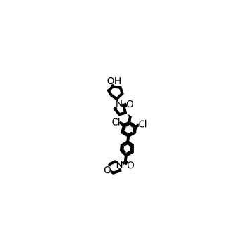 O=C(c1ccc(-c2cc(Cl)c(C[C@@H]3CCN(C4CCC(O)CC4)C3=O)c(Cl)c2)cc1)N1CCOCC1